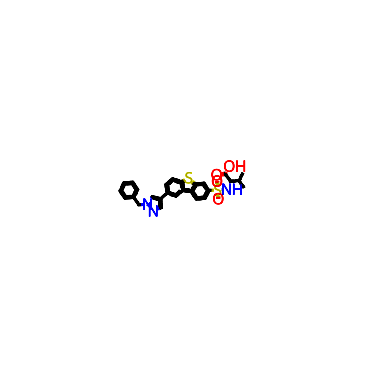 CC(C)[C@H](NS(=O)(=O)c1ccc2c(c1)sc1ccc(-c3cnn(Cc4ccccc4)c3)cc12)C(=O)O